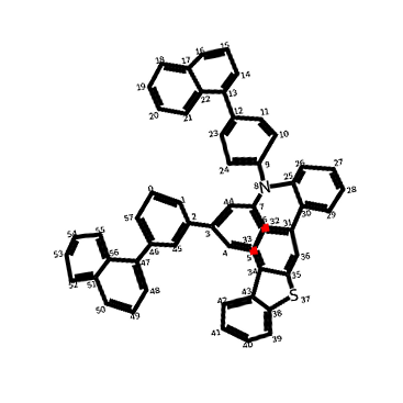 c1cc(-c2cccc(N(c3ccc(-c4cccc5ccccc45)cc3)c3ccccc3-c3ccc4c(c3)sc3ccccc34)c2)cc(-c2cccc3ccccc23)c1